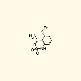 CCSc1cccc2c1C(N)=NS(=O)(=O)N2